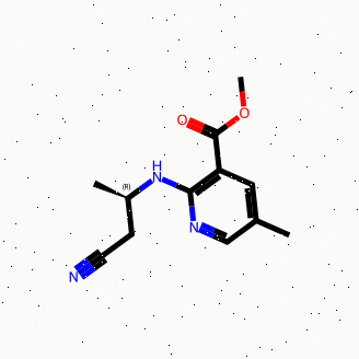 COC(=O)c1cc(C)cnc1N[C@H](C)CC#N